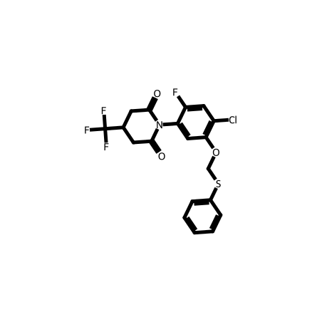 O=C1CC(C(F)(F)F)CC(=O)N1c1cc(OCSc2ccccc2)c(Cl)cc1F